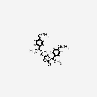 COc1ccc([C@H](C)NC[C@H]2CN([C@@H](C)c3ccc(OC)cc3)C(=O)O2)cc1